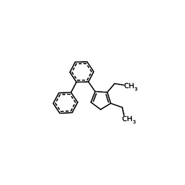 CCC1=C(CC)C(c2ccccc2-c2ccccc2)=CC1